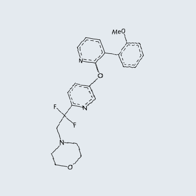 COc1ccccc1-c1cccnc1Oc1ccc(C(F)(F)CN2CCOCC2)nc1